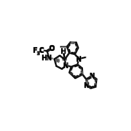 Cc1cccc2c1[C@H]1C[C@@H](NC(=O)C(F)(F)F)CCN1c1ccc(-c3ncccn3)cc1N2C